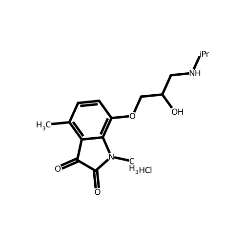 Cc1ccc(OCC(O)CNC(C)C)c2c1C(=O)C(=O)N2C.Cl